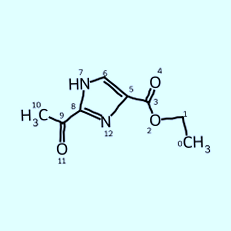 CCOC(=O)c1c[nH]c(C(C)=O)n1